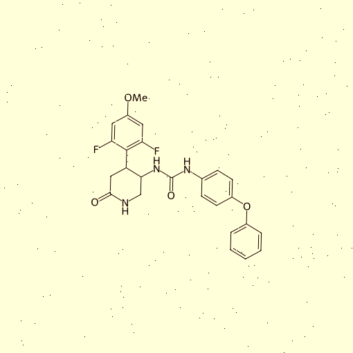 COc1cc(F)c(C2CC(=O)NCC2NC(=O)Nc2ccc(Oc3ccccc3)cc2)c(F)c1